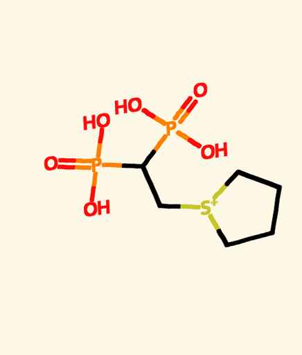 O=P(O)(O)C(C[S+]1CCCC1)P(=O)(O)O